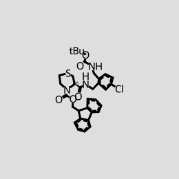 CC(C)(C)OC(=O)NCc1ccc(Cl)cc1CNC(=O)[C@@H]1CSCCN1C(=O)OCC1c2ccccc2-c2ccccc21